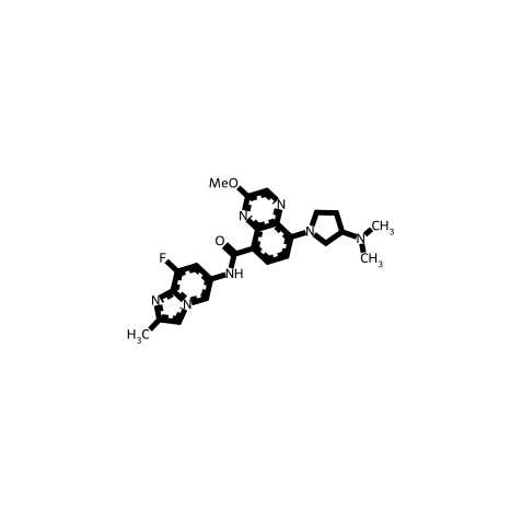 COc1cnc2c(N3CCC(N(C)C)C3)ccc(C(=O)Nc3cc(F)c4nc(C)cn4c3)c2n1